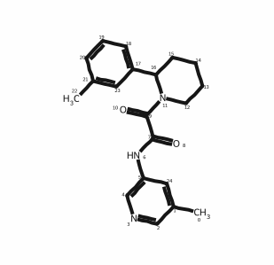 Cc1cncc(NC(=O)C(=O)N2CCCCC2c2cccc(C)c2)c1